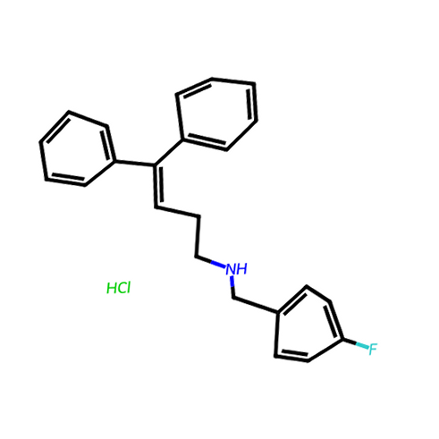 Cl.Fc1ccc(CNCCC=C(c2ccccc2)c2ccccc2)cc1